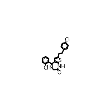 O=C1CN=C(c2ccccc2Cl)c2cc(CCc3ccc(Cl)cc3)sc2N1